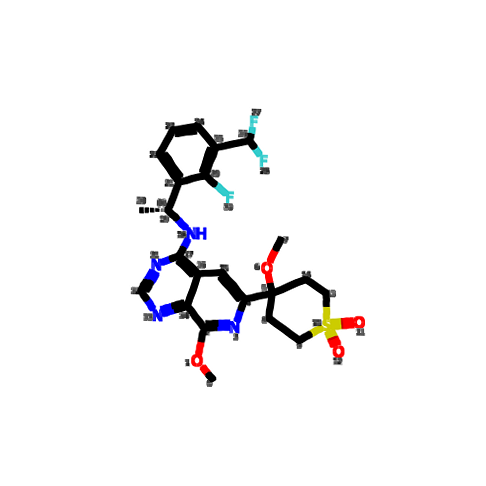 COc1nc(C2(OC)CCS(=O)(=O)CC2)cc2c(N[C@H](C)c3cccc(C(F)F)c3F)ncnc12